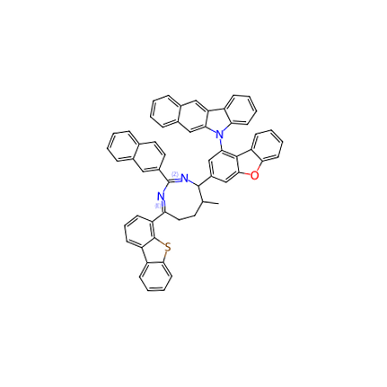 CC1CC/C(c2cccc3c2sc2ccccc23)=N\C(c2ccc3ccccc3c2)=N/C1c1cc(-n2c3ccccc3c3cc4ccccc4cc32)c2c(c1)oc1ccccc12